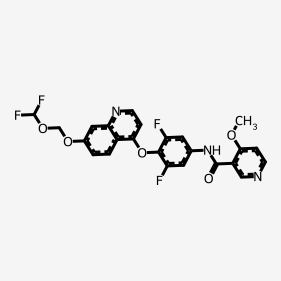 COc1ccncc1C(=O)Nc1cc(F)c(Oc2ccnc3cc(OCOC(F)F)ccc23)c(F)c1